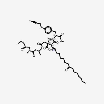 CC#CCOc1ccc(C[C@H](NC(=O)[C@@H](/C=C/CCCCCCC(=O)CCCCCCC)[C@@](O)(CC(=O)OC(C)OC(=O)N(C)CC(=O)OCC)C(=O)O)C(=O)OC)cc1